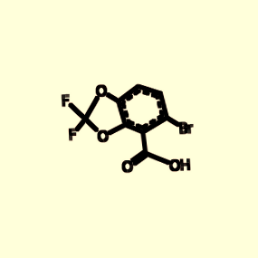 O=C(O)c1c(Br)ccc2c1OC(F)(F)O2